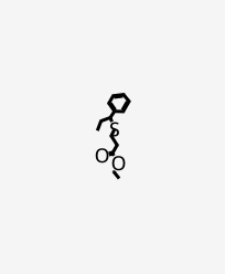 CCOC(=O)CCSC(CC)c1ccccc1